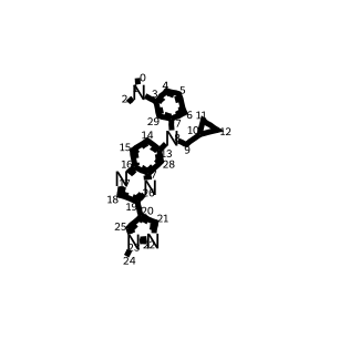 CN(C)c1cccc(N(CC2CC2)c2ccc3ncc(-c4cnn(C)c4)nc3c2)c1